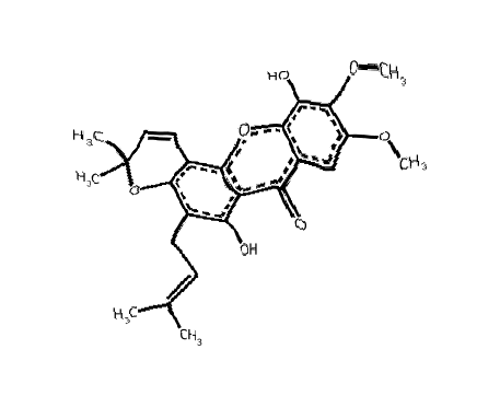 COc1cc2c(=O)c3c(O)c(CC=C(C)C)c4c(c3oc2c(O)c1OC)C=CC(C)(C)O4